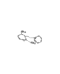 CCC(C)c1[c]ccc(C(C)CC)c1Cc1ccccc1